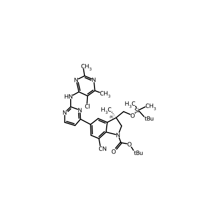 Cc1nc(C)c(Cl)c(Nc2nccc(-c3cc(C#N)c4c(c3)[C@@](C)(CO[Si](C)(C)C(C)(C)C)CN4C(=O)OC(C)(C)C)n2)n1